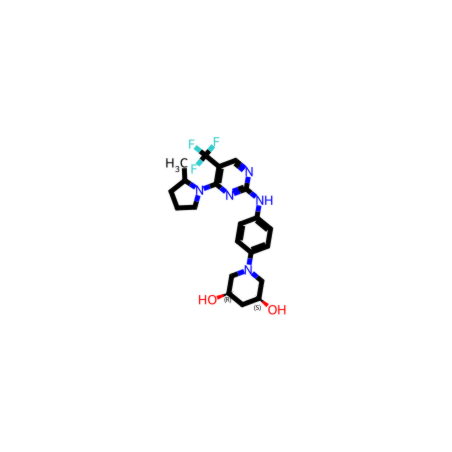 CC1CCCN1c1nc(Nc2ccc(N3C[C@H](O)C[C@H](O)C3)cc2)ncc1C(F)(F)F